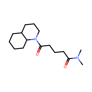 CN(C)C(=O)CCCC(=O)N1CCCC2CCCCC21